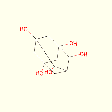 OC1C2CC3(O)CC1(O)CC(O)(C3)C2O